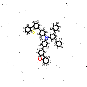 c1ccc(-c2cc(-c3ccccc3)cc(N(c3ccc(-c4ccc5oc6ccccc6c5c4)cc3)c3ccc(-c4cccc5c4sc4ccccc45)cc3)c2)cc1